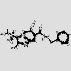 CC(C)c1nc2cc(C(=O)NOCc3ccccc3)c(Cl)cn2c1S(=O)(=O)NC(C)(C)C